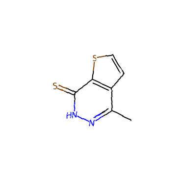 Cc1n[nH]c(=S)c2sccc12